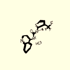 Cl.O=C(Nc1sccc1C(F)(F)F)Nc1ccnc2ccccc12